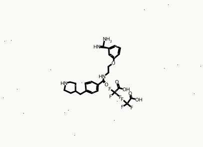 N=C(N)c1cccc(OCCNC(=O)c2ccc(CC3CCNCC3)cc2)c1.O=C(O)C(F)(F)F.O=C(O)C(F)(F)F